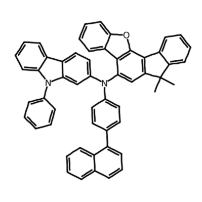 CC1(C)c2ccccc2-c2c1cc(N(c1ccc(-c3cccc4ccccc34)cc1)c1ccc3c4ccccc4n(-c4ccccc4)c3c1)c1c2oc2ccccc21